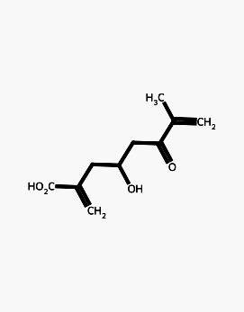 C=C(C)C(=O)CC(O)CC(=C)C(=O)O